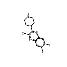 Fc1cc2nc(Cl)c(N3CCNCC3)nc2cc1F